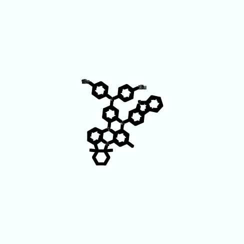 Cc1cc2c3c(c1)N1c4c(cccc4C4(C)CCCCC14C)B3c1ccc(N(c3ccc(C(C)(C)C)cc3)c3ccc(C(C)(C)C)cc3)cc1N2c1ccc2c(c1)sc1ccccc12